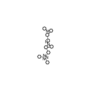 c1ccc(-c2nc(-c3ccccc3)nc(-c3cccc(-c4cccc5c4c4ccccc4n5-c4ccc(-c5ccc6c(c5)c5ccccc5n6-c5ccccc5)cn4)c3)n2)cc1